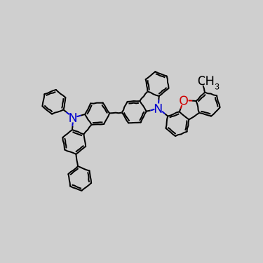 Cc1cccc2c1oc1c(-n3c4ccccc4c4cc(-c5ccc6c(c5)c5cc(-c7ccccc7)ccc5n6-c5ccccc5)ccc43)cccc12